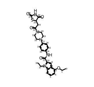 CCOc1cccc2c1cc(C(=O)Nc1ccc(N3CCN(C(=O)CC4SC(=O)NC4=O)CC3)cc1)n2CC